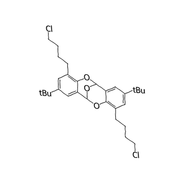 CC(C)(C)c1cc(CCCCCl)c2c(c1)C1Oc3c(CCCCCl)cc(C(C)(C)C)cc3C(O2)O1